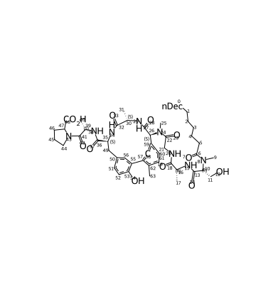 CCCCCCCCCCCCCCCC(=O)N(C)[C@H](CO)C(=O)N[C@H](C)C(=O)NCC(=O)N(C)[C@@H]1C(=O)N[C@@H](C)C(=O)N[C@H](C(=O)N[C@@H](C)C(=O)N2CCCC2C(=O)O)Cc2ccc(O)c(c2)-c2cc1ccc2C